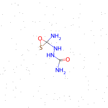 NC(=O)NNC1(N)OS1